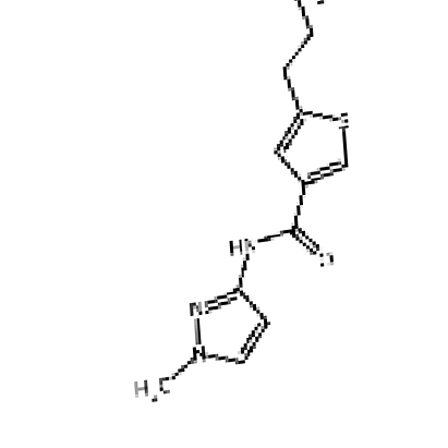 CCCc1cc(C(=O)Nc2ccn(C)n2)cs1